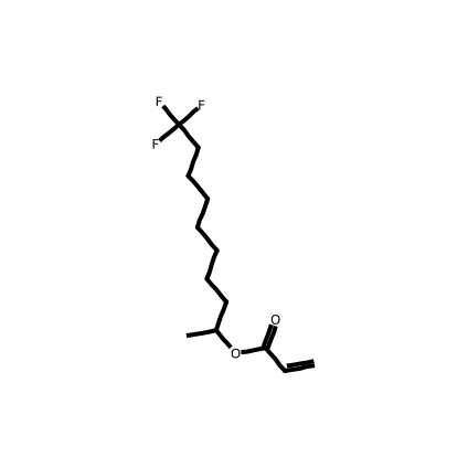 C=CC(=O)OC(C)CCCCCCCC(F)(F)F